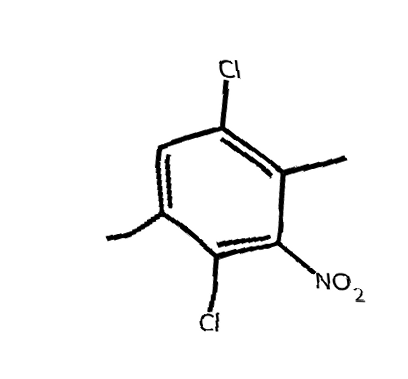 Cc1cc(Cl)c(C)c([N+](=O)[O-])c1Cl